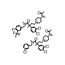 CC(=O)N(C)C1CCN(CCC(C)(C(=O)N(C)Cc2ccc(F)c(C(F)(F)F)c2)c2ccc(Cl)c(Cl)c2)CC1.CC(=O)N(C)C1CCN(CCC(C)(C(=O)N(C)Cc2cccc(Cl)c2)c2ccc(Cl)c(Cl)c2)CC1